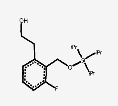 CC(C)[Si](OCc1c(F)cccc1CCO)(C(C)C)C(C)C